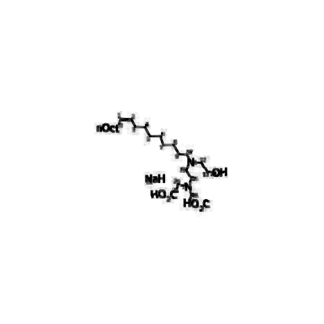 CCCCCCCC/C=C\CCCCCCCCN(CCO)CCN(CC(=O)O)CC(=O)O.[NaH]